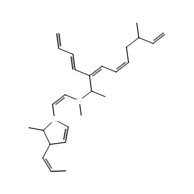 C=C/C=C/C(=C/C=C\CC(C)C=C)C(C)N(C)/C=C\N1C=CC(/C=C\C)C1C